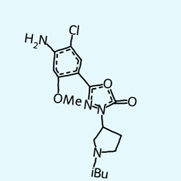 CCC(C)N1CCC(n2nc(-c3cc(Cl)c(N)cc3OC)oc2=O)C1